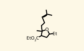 CCOC(=O)C1CC(CC)OC1(C)CCC=C(C)C